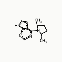 CC1CCC(C)N1c1ncnc2[nH]ccc12